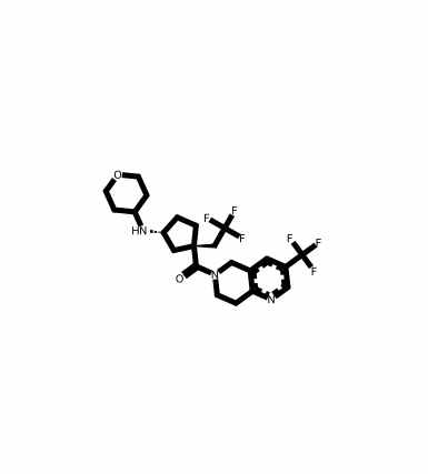 O=C(N1CCc2ncc(C(F)(F)F)cc2C1)[C@@]1(CC(F)(F)F)CC[C@@H](NC2CCOCC2)C1